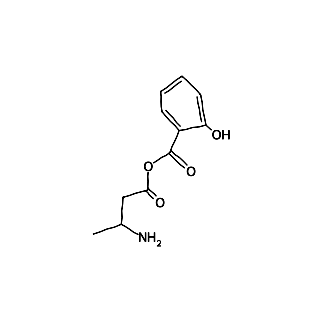 CC(N)CC(=O)OC(=O)c1ccccc1O